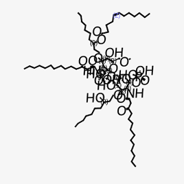 CCCCCC/C=C\CCCC(=O)O[C@H](CCCCCCC)CCO[C@H]1[C@H](O)[C@@H](COC)O[C@](OC[C@H]2O[C@H](OP(=O)(O)O)[C@H](NC(=O)CC(=O)CCCCCCCCCCC)[C@@H](OCC[C@H](O)CCCCCCC)[C@@H]2O)(P(=O)(O)O)[C@@H]1NC(=O)CC(=O)CCCCCCCCCCC